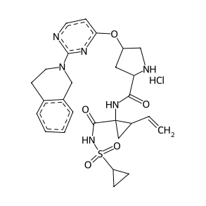 C=CC1CC1(NC(=O)C1CC(Oc2ccnc(N3CCc4ccccc4C3)n2)CN1)C(=O)NS(=O)(=O)C1CC1.Cl